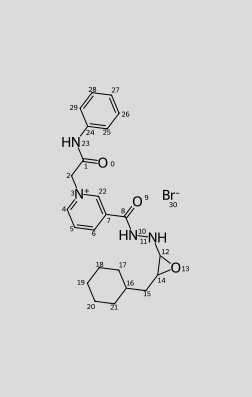 O=C(C[n+]1cccc(C(=O)NNC2OC2CC2CCCCC2)c1)Nc1ccccc1.[Br-]